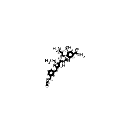 CCn1nc(Cc2cccc(CN=C=O)c2)cc1C(=O)Nc1nc2cc(C(N)=O)cc(OC)c2n1CCCN